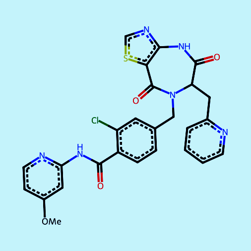 COc1ccnc(NC(=O)c2ccc(CN3C(=O)c4scnc4NC(=O)C3Cc3ccccn3)cc2Cl)c1